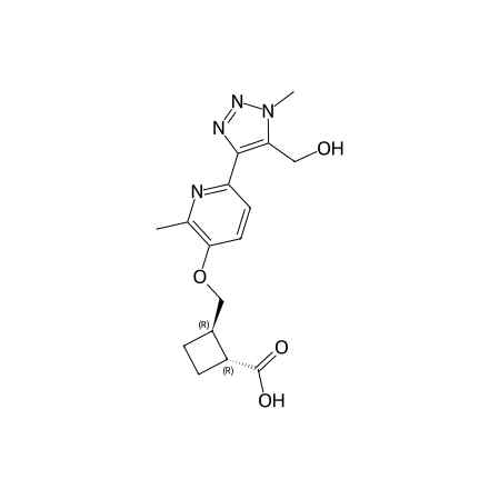 Cc1nc(-c2nnn(C)c2CO)ccc1OC[C@@H]1CC[C@H]1C(=O)O